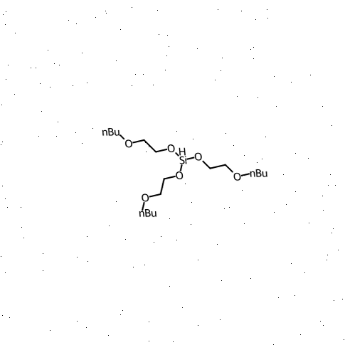 CCCCOCCO[SiH](OCCOCCCC)OCCOCCCC